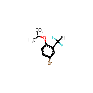 CCC(F)(F)c1cc(Br)ccc1O[C@@H](C)C(=O)O